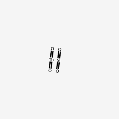 O=[Si]=O.[O]=[Th]=[O]